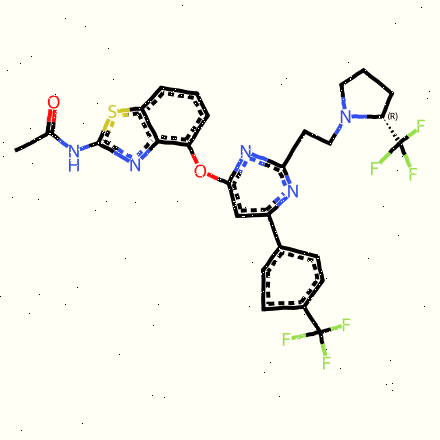 CC(=O)Nc1nc2c(Oc3cc(-c4ccc(C(F)(F)F)cc4)nc(CCN4CCC[C@@H]4C(F)(F)F)n3)cccc2s1